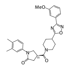 COc1cccc(-c2noc(C3CCN(C(=O)[C@H]4CC(=O)N(c5ccc(C)c(C)c5)C4)CC3)n2)c1